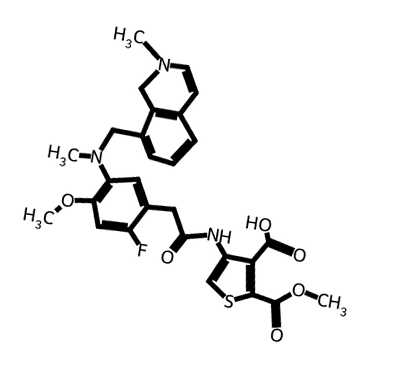 COC(=O)c1scc(NC(=O)Cc2cc(N(C)Cc3cccc4c3CN(C)C=C4)c(OC)cc2F)c1C(=O)O